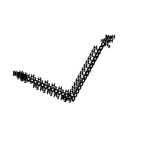 O.O.O.O.O.O.O.O.O.O.O.O.O.O.O.O.O.O.O.O.O.O.O.O.O.O.O.O.O.O.[NaH].[NaH].[NaH].[NaH].[NaH]